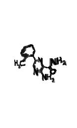 Cc1ccccc1-c1cnc(N)c(C(N)=O)n1